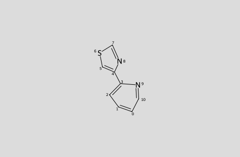 c1ccc(-c2cscn2)nc1